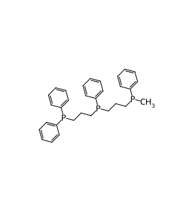 CP(CCCP(CCCP(c1ccccc1)c1ccccc1)c1ccccc1)c1ccccc1